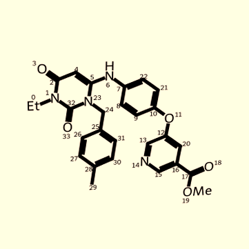 CCn1c(=O)cc(Nc2ccc(Oc3cncc(C(=O)OC)c3)cc2)n(Cc2ccc(C)cc2)c1=O